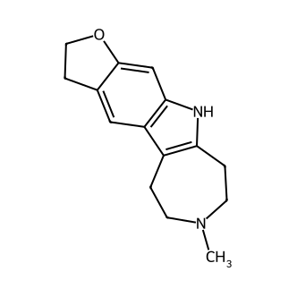 CN1CCc2[nH]c3cc4c(cc3c2CC1)CCO4